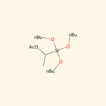 CCCCO[Si](OCCCC)(OCCCC)C(C)OC(C)=O